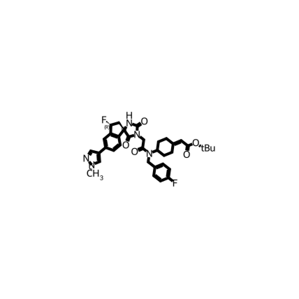 Cn1cc(-c2ccc3c(c2)[C@H](F)C[C@]32NC(=O)N(CC(=O)N(Cc3ccc(F)cc3)C3CCC(=CC(=O)OC(C)(C)C)CC3)C2=O)cn1